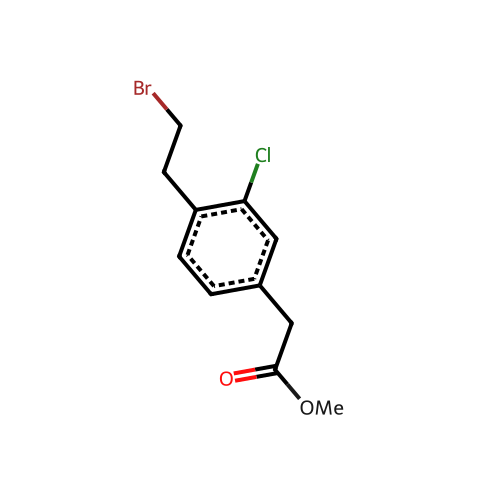 COC(=O)Cc1ccc(CCBr)c(Cl)c1